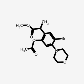 COC(=O)C(C)c1cc(Br)c(N2CCOCC2)cc1OC(C)=O